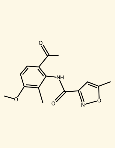 COc1ccc(C(C)=O)c(NC(=O)c2cc(C)on2)c1C